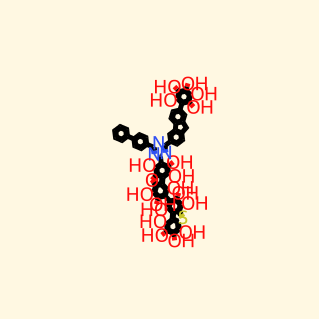 Oc1c(O)c(O)c(-c2ccc3c(c2)Cc2ccc(-c4nc(-c5ccc(-c6ccccc6)cc5)nc(-c5c(O)c(O)c6c(oc7c(O)c(O)c(-c8c(O)c(O)c9sc%10c(O)c(O)c(O)c(O)c%10c9c8O)c(O)c76)c5O)n4)cc2-3)c(O)c1O